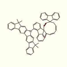 C=C1/C=C\C=C/CC2(c3ccccc3-c3ccccc32)c2ccccc2C12c1ccccc1-c1c(-n3c4cc5c(cc4c4cc6c(cc43)C(C)(C)c3ccccc3-6)-c3ccccc3C5(C)C)cccc12